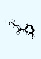 CCNC(=O)c1cccc(Cl)n1